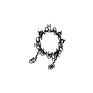 CC[C@@H]1NC(=O)[C@@H]2[C@@H]([C@H](C)CCCCCN=[N+]=[N-])ON2C(=O)[C@H](C(C)C)N(C)C(=O)[C@H](CC(C)C)N(C)C(=O)[C@H](CC(C)C)N(C)C(=O)[C@@H](C)NC(=O)C(C)NC(=O)[C@H](CC(C)C)N(C)C(=O)[C@H](C(C)C)NC(=O)C([C@@H](C)OCCCCN2CCOCC2)N(C)C(=O)[C@@H](C)N(C)C1=O